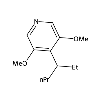 CCCC(CC)c1c(OC)cncc1OC